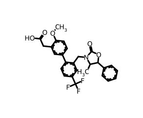 COc1ccc(-c2ccc(C(F)(F)F)cc2CN2C(=O)OC(c3ccccc3)C2C)cc1CC(=O)O